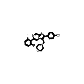 Fc1cccc(F)c1-c1cn2c(CN3CCOCC3)c(-c3ccc(Cl)cc3)nc2cn1